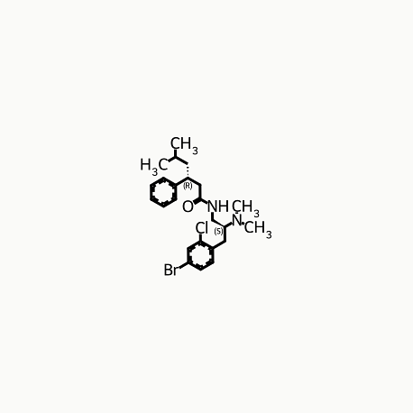 CC(C)C[C@H](CC(=O)NC[C@H](Cc1ccc(Br)cc1Cl)N(C)C)c1ccccc1